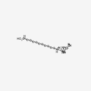 CCCN(OCCCC(=O)NCCOCCOCCOCCOCCOCCOCCOCCOCCOCCOCCNC(=O)O)C(=O)C1=Cc2ccc(-c3cncnc3)cc2N=C(N)C1